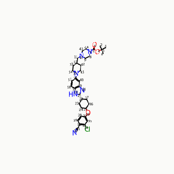 CC(C)(C)OC(=O)N1CCN(CC2CCN(c3ccc4[nH]c([C@H]5CC[C@H](Oc6ccc(C#N)c(Cl)c6)CC5)nc4c3)CC2)CC1